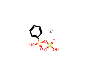 O=P(O)(OS(=O)(=O)O)c1ccccc1.[Zr]